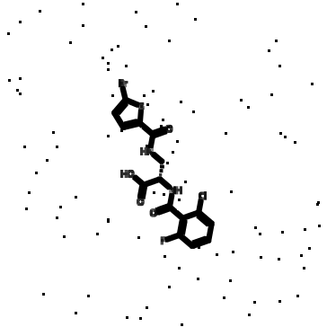 O=C(NC[C@H](NC(=O)c1c(F)cccc1Cl)C(=O)O)c1ccc(Br)s1